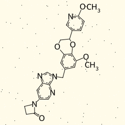 COc1ccc(C2COc3cc(Cn4cnc5cc(N6CCC6=O)cnc54)cc(OC)c3O2)cn1